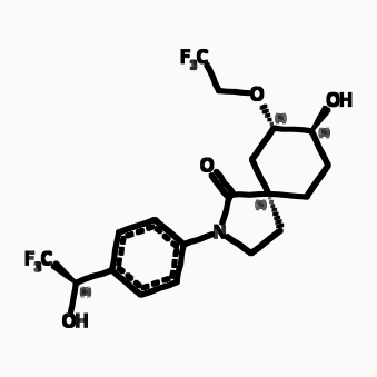 O=C1N(c2ccc([C@@H](O)C(F)(F)F)cc2)CC[C@]12CC[C@H](O)[C@@H](OCC(F)(F)F)C2